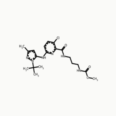 COC(=O)NCCCNC(=O)c1nc(Nc2cc(C)nn2C(C)(C)C)ccc1Cl